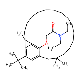 CCN(CC)C(=O)COc1c2cc(C(C)(C)C)c3c1C3(C)CCCCCCCCCCCCCC(C)(C)C2